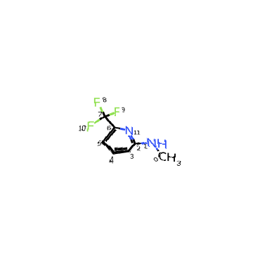 CNc1cccc(C(F)(F)F)n1